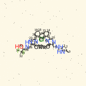 C=C1CC[C@@H](CNCc2ncc(-c3cccc(-c4cccc(-c5cnc(CNCC(O)C(C)(F)F)c(OC)n5)c4Cl)c3Cl)nc2OC)N1